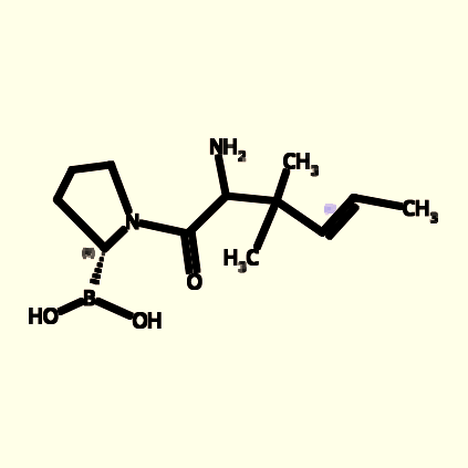 C/C=C/C(C)(C)C(N)C(=O)N1CCC[C@H]1B(O)O